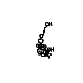 CC1(C)SCCN(S(=O)(=O)c2ccc(OCC#CCCO)cc2)C1C(=O)NO